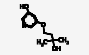 CC(C)(O)CCOc1cncc(O)c1